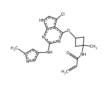 C=CC(=O)NC1(C)CC(Oc2nc(Nc3cnn(C)c3)nc3[nH]cc(Cl)c23)C1